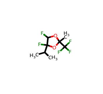 CC(C)C1(F)OC(C)(C(F)(F)F)OC1F